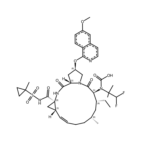 CC[C@@H]1C[C@H](C)CCC=C[C@@H]2C[C@@]2(C(=O)NS(=O)(=O)C2(C)CC2)NC(=O)[C@@H]2C[C@@H](Oc3nccc4cc(OC)ccc34)CN2C(=O)[C@H]1N(C(=O)O)C(C)(C)C(F)F